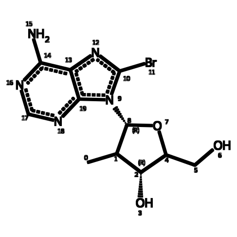 CC1[C@@H](O)C(CO)O[C@H]1n1c(Br)nc2c(N)ncnc21